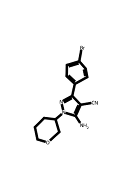 N#Cc1c(-c2ccc(Br)cc2)nn(C2CCCOC2)c1N